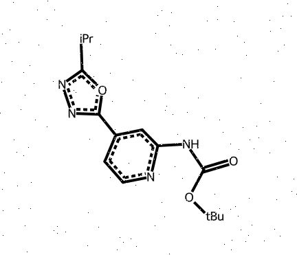 CC(C)c1nnc(-c2ccnc(NC(=O)OC(C)(C)C)c2)o1